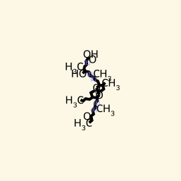 CCCCC1CC[C@]2(CCC(C)C(C/C=C(C)/C=C/C(O)C(C)/C=C/C(=O)O)O2)OC1/C=C/C(C)=C/CC(=O)CC